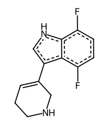 Fc1ccc(F)c2c(C3=CCCNC3)c[nH]c12